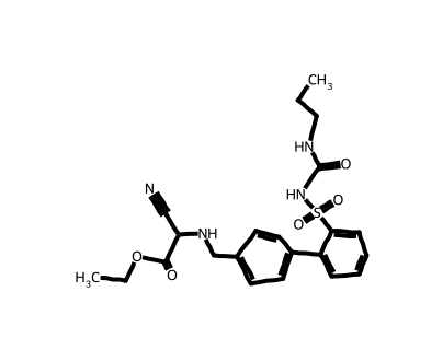 CCCNC(=O)NS(=O)(=O)c1ccccc1-c1ccc(CNC(C#N)C(=O)OCC)cc1